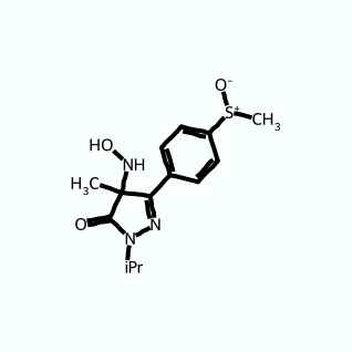 CC(C)N1N=C(c2ccc([S+](C)[O-])cc2)C(C)(NO)C1=O